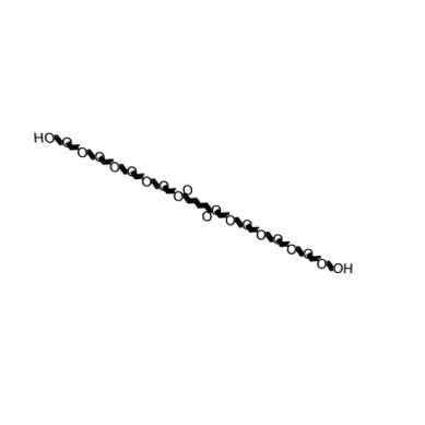 O=C(CCCCC(=O)OCCOCCOCCOCCOCCOCCOCCOCCO)OCCOCCOCCOCCOCCOCCOCCOCCO